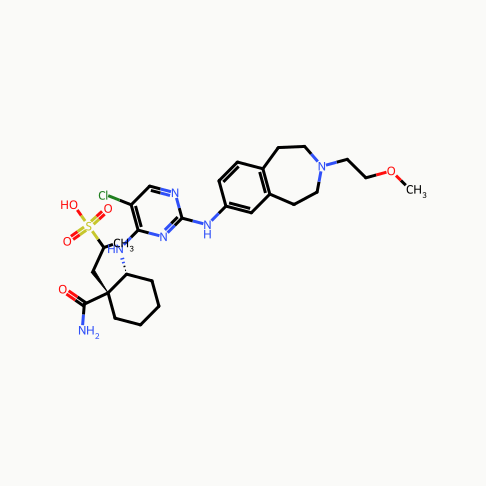 COCCN1CCc2ccc(Nc3ncc(Cl)c(N[C@@H]4CCCC[C@]4(CC(C)S(=O)(=O)O)C(N)=O)n3)cc2CC1